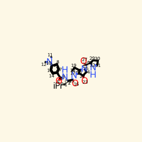 CC(C)C[C@H](NC(=O)c1ccc(N(C)C)cc1)C(=O)N1CCC2C1C(=O)CN2C(=O)[C@H]1CCCN1